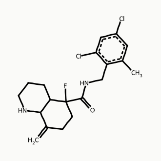 C=C1CCC(F)(C(=O)NCc2c(C)cc(Cl)cc2Cl)C2CCCNC12